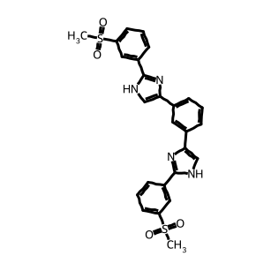 CS(=O)(=O)c1cccc(-c2nc(-c3cccc(-c4c[nH]c(-c5cccc(S(C)(=O)=O)c5)n4)c3)c[nH]2)c1